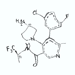 Cc1ncc(C(=O)N[C@@H](C)C(F)(F)F)c(N2CC[C@H](N)C2)c1-c1cc(F)cc(Cl)c1